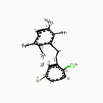 [2H]c1cc([2H])c([2H])c(Cc2cc(Br)ccc2Cl)c1[2H]